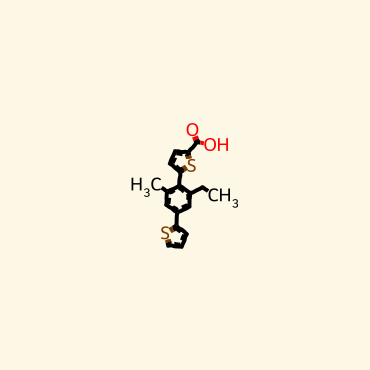 CCc1cc(-c2cccs2)cc(C)c1-c1ccc(C(=O)O)s1